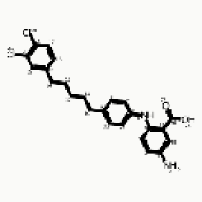 Nc1ccc(Nc2ccc(CCCCCc3ccc(Cl)c(Cl)c3)cc2)c(C(=O)O)c1